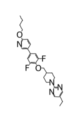 CCCCOc1ccc(-c2cc(F)c(OCC3CCN(c4ncc(CC)cn4)CC3)c(F)c2)cn1